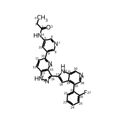 CCC(=O)Nc1cncc(-c2ccc3[nH]nc(-c4cc5c(-c6ccccc6F)cncc5[nH]4)c3n2)c1